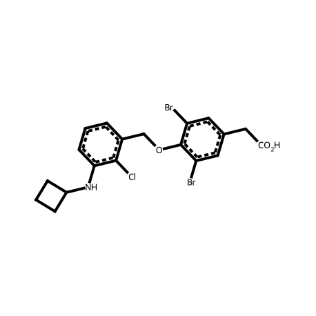 O=C(O)Cc1cc(Br)c(OCc2cccc(NC3CCC3)c2Cl)c(Br)c1